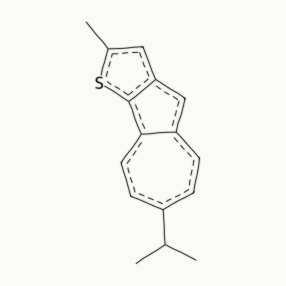 Cc1cc2cc3ccc(C(C)C)ccc-3c2s1